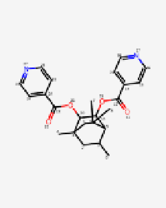 CC1CC2(C)CC(C)(C)C1C(OC(=O)c1ccncc1)C2OC(=O)c1ccncc1